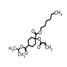 C=CC(=O)OC1(C(=O)OCCCCCC)CCC(C(=O)OC(C)C)CC1